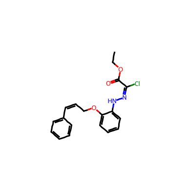 CCOC(=O)/C(Cl)=N\Nc1ccccc1OC/C=C\c1ccccc1